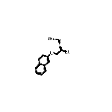 CCC(=C=CC(C)(C)C)COc1ccc2ccccc2c1